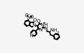 Cn1c(NC[C@@H](N)Cc2ccccc2)nc(-c2ccncc2)c(N2Cc3cccc([N+](=O)[O-])c3C2=O)c1=O